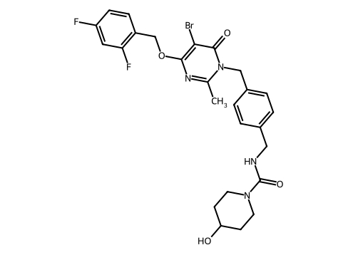 Cc1nc(OCc2ccc(F)cc2F)c(Br)c(=O)n1Cc1ccc(CNC(=O)N2CCC(O)CC2)cc1